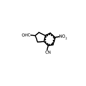 N#Cc1cc([N+](=O)[O-])cc2c1CC(C=O)C2